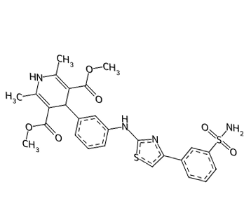 COC(=O)C1=C(C)NC(C)=C(C(=O)OC)C1c1cccc(Nc2nc(-c3cccc(S(N)(=O)=O)c3)cs2)c1